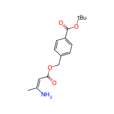 C/C(N)=C/C(=O)OCc1ccc(C(=O)OC(C)(C)C)cc1